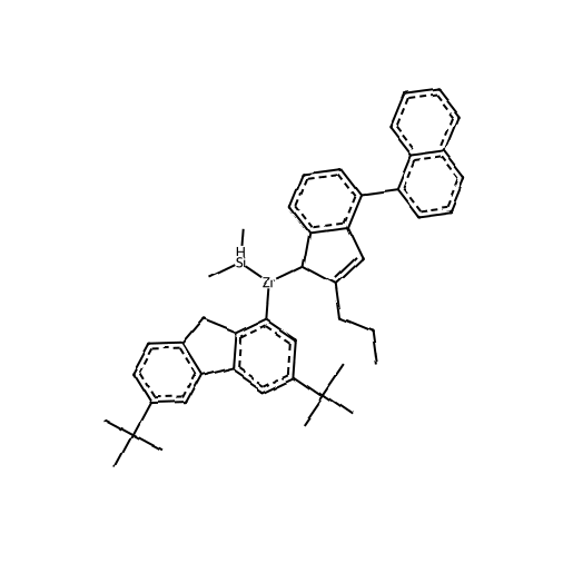 CCCC1=Cc2c(-c3cccc4ccccc34)cccc2[CH]1[Zr]([c]1cc(C(C)(C)C)cc2c1Cc1ccc(C(C)(C)C)cc1-2)[SiH](C)C